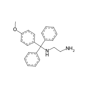 COc1ccc(C(NCCN)(c2ccccc2)c2ccccc2)cc1